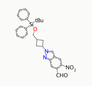 CC(C)(C)[Si](OCC1CC(n2cc3cc([N+](=O)[O-])c(C=O)cc3n2)C1)(c1ccccc1)c1ccccc1